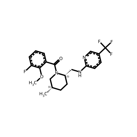 COc1c(F)cccc1C(=O)N1C[C@@H](C)CC[C@H]1CNc1ccc(C(F)(F)F)cn1